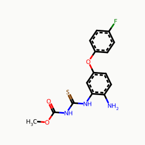 COC(=O)NC(=S)Nc1cc(Oc2ccc(F)cc2)ccc1N